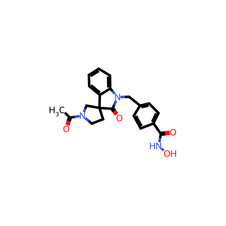 CC(=O)N1CCC2(C1)C(=O)N(Cc1ccc(C(=O)NO)cc1)c1ccccc12